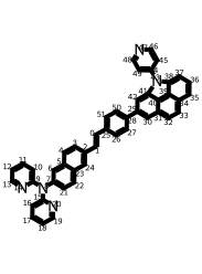 C(=C\c1ccc2cc(N(c3ccccn3)c3ccccn3)ccc2c1)/c1ccc(-c2cc3ccc4cccc5c4c3c(c2)n5-c2ccncc2)cc1